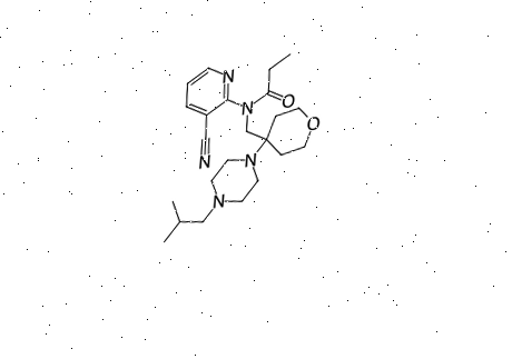 CCC(=O)N(CC1(N2CCN(CC(C)C)CC2)CCOCC1)c1ncccc1C#N